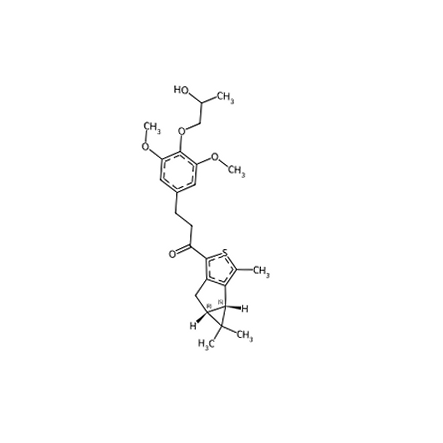 COc1cc(CCC(=O)c2sc(C)c3c2C[C@@H]2[C@H]3C2(C)C)cc(OC)c1OCC(C)O